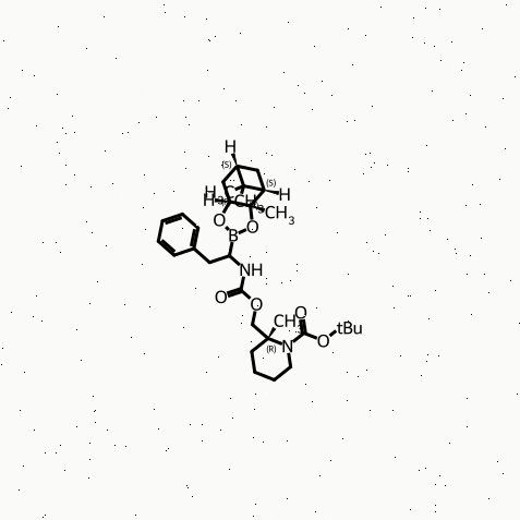 CC(C)(C)OC(=O)N1CCCC[C@]1(C)COC(=O)NC(Cc1ccccc1)B1O[C@@H]2C[C@@H]3C[C@@H](C3(C)C)[C@]2(C)O1